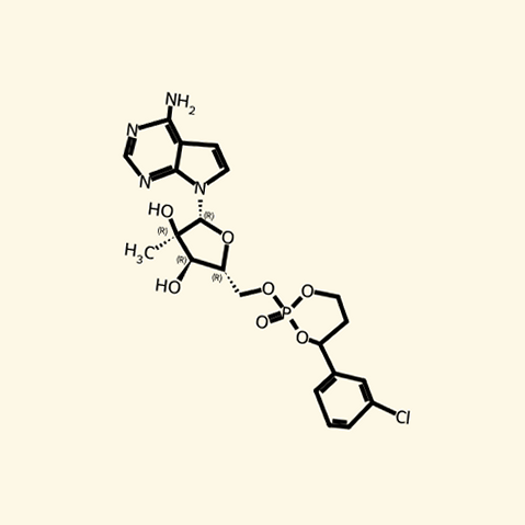 C[C@@]1(O)[C@H](O)[C@@H](COP2(=O)OCCC(c3cccc(Cl)c3)O2)O[C@H]1n1ccc2c(N)ncnc21